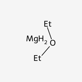 CCOCC.[MgH2]